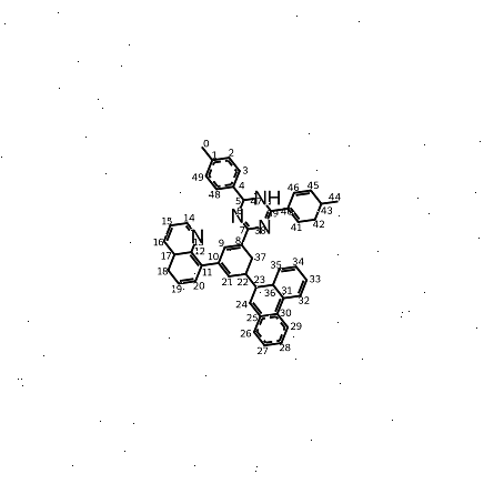 Cc1ccc(C2N=C(C3=CC(C4=C5N=CC=CC5CC=C4)=CC(C4C=c5ccccc5=C5C=CC=CC54)C3)N=C(C3=CCC(C)C=C3)N2)cc1